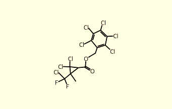 CC1(C(F)(F)Cl)C(C(=O)OCc2c(Cl)c(Cl)c(Cl)c(Cl)c2Cl)C1(Cl)Cl